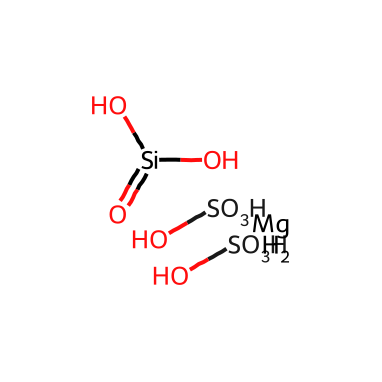 O=S(=O)(O)O.O=S(=O)(O)O.O=[Si](O)O.[MgH2]